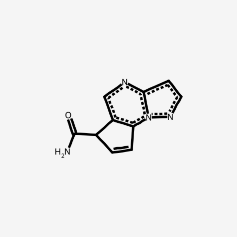 NC(=O)C1C=Cc2c1cnc1ccnn21